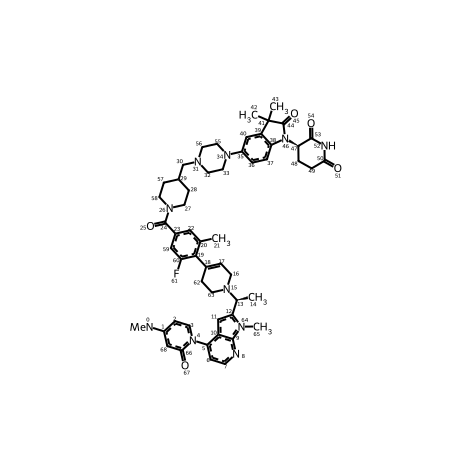 CNc1ccn(-c2ccnc3c2cc([C@H](C)N2CC=C(c4c(C)cc(C(=O)N5CCC(CN6CCN(c7ccc8c(c7)C(C)(C)C(=O)N8[C@@H]7CCC(=O)NC7=O)CC6)CC5)cc4F)CC2)n3C)c(=O)c1